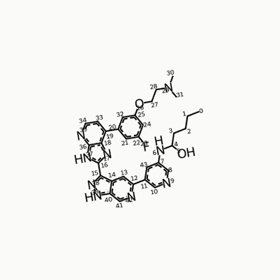 CCCCC(O)Nc1cncc(-c2cc3c(-c4nc5c(-c6cc(F)cc(OCCN(C)C)c6)ccnc5[nH]4)n[nH]c3cn2)c1